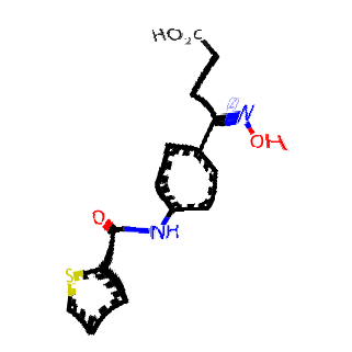 O=C(O)CC/C(=N/O)c1ccc(NC(=O)c2cccs2)cc1